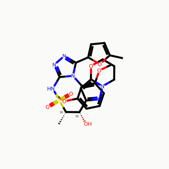 COc1cccc(OC)c1-n1c(NS(=O)(=O)[C@@H](C)[C@@H](O)c2cc3n(n2)CCCO3)nnc1-c1ccc(C)o1